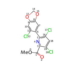 COC(=O)c1nc(-c2cc3c(cc2Cl)OCO3)c(Cl)cc1Cl